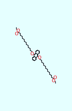 CCOC(=O)CCCCCCCCCCCCCOc1c2ccccc2c(OCCCCCCCCCCCCCC(=O)OCC)c2ccccc12